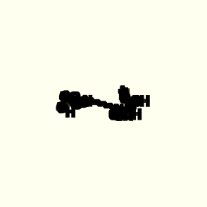 CC(C)(C)[C@](O)(CN(CCCCCCCCCN1CCC(OC(=O)Nc2ccccc2-c2ccccc2)CC1)C(=O)O)c1ccc(O)c(CO[Si](C)(C)C(C)(C)C)c1